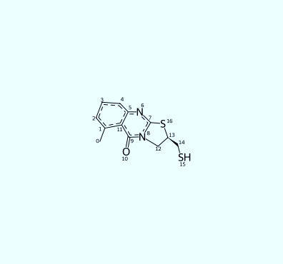 Cc1cccc2nc3n(c(=O)c12)C[C@H](CS)S3